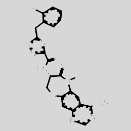 COc1ncnc2cc3c(cc12)N(C)C(=O)[C@@H](NC(=O)c1n[nH]c(Cc2ccccc2F)n1)CO3